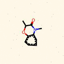 CC1Oc2ccccc2N(C)C1=O